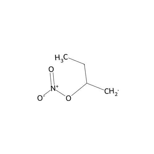 [CH2]C(CC)O[N+](=O)[O-]